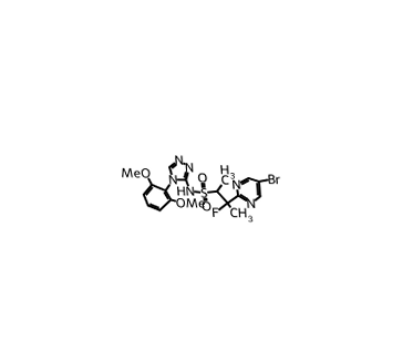 COc1cccc(OC)c1-n1cnnc1NS(=O)(=O)C(C)C(C)(F)c1ncc(Br)cn1